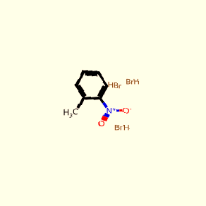 Br.Br.Br.Cc1ccccc1[N+](=O)[O-]